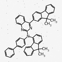 CC1(C)c2ccccc2-c2ccc(-c3nc(N(c4ccc(-c5ccccc5)cc4)c4cccc5c4-c4ccccc4C5(C)C)nc4ccccc34)cc21